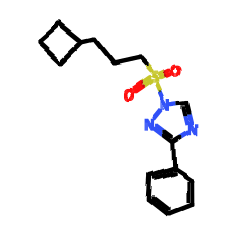 O=S(=O)(CCCC1CCC1)n1cnc(-c2ccccc2)n1